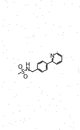 CS(=O)(=O)NCc1ccc(-c2ccc[c]n2)cc1